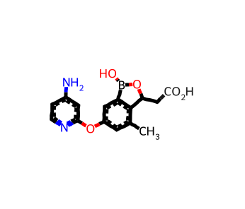 Cc1cc(Oc2cc(N)ccn2)cc2c1C(CC(=O)O)OB2O